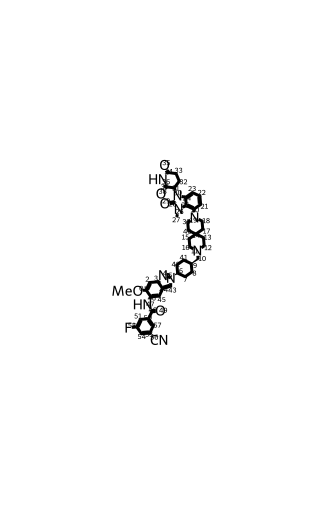 COc1cc2nn([C@H]3CC[C@H](CN4CCC5(CC4)CCN(c4cccc6c4n(C)c(=O)n6C4CCC(=O)NC4=O)CC5)CC3)cc2cc1NC(=O)c1cc(F)cc(C#N)c1